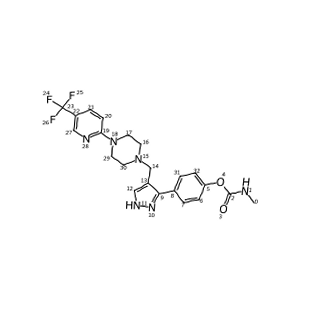 CNC(=O)Oc1ccc(-c2n[nH]cc2CN2CCN(c3ccc(C(F)(F)F)cn3)CC2)cc1